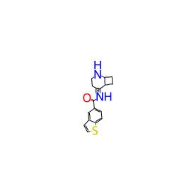 O=C(N[C@@H]1CCNC2CCC21)c1ccc2sccc2c1